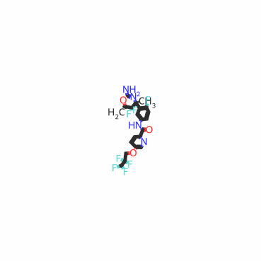 C=C1OC(N)=N[C@](C)(c2cc(NC(=O)c3ccc(OCC(F)(F)C(F)F)cn3)ccc2F)C1(F)F